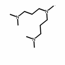 [CH2]N(CCCN(C)C)CCCN(C)C